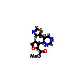 COC(=O)c1occc1-c1ncncc1-c1cncs1